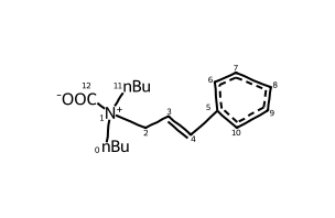 CCCC[N+](CC=Cc1ccccc1)(CCCC)C(=O)[O-]